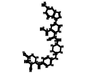 CC(C)Nc1cc(-n2ccc3cc(C#N)cnc32)ncc1C(=O)NC1CCN(Cc2ccc(NC3CCC(=O)NC3=O)cc2)CC1